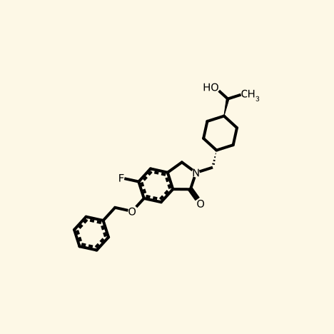 CC(O)[C@H]1CC[C@H](CN2Cc3cc(F)c(OCc4ccccc4)cc3C2=O)CC1